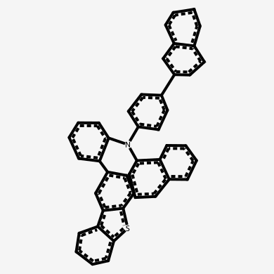 c1ccc(N(c2ccc(-c3ccc4ccccc4c3)cc2)c2cccc3ccccc23)c(-c2ccc3sc4ccccc4c3c2)c1